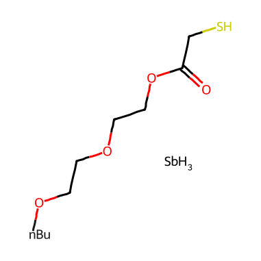 CCCCOCCOCCOC(=O)CS.[SbH3]